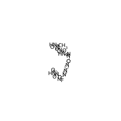 C[C@@H]1CNC(=O)c2cc3ccc(C(=O)Nc4cnn(Cc5ccc(N6CCC(N7CCN(Cc8cc(N9CCC(=O)NC9=O)cnc8F)CC7)CC6)cc5)c4)nc3n21